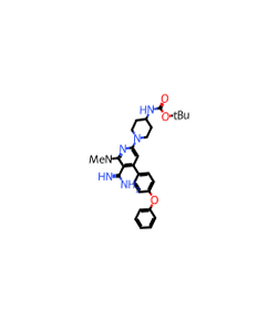 CNc1nc(N2CCC(NC(=O)OC(C)(C)C)CC2)cc(-c2ccc(Oc3ccccc3)cc2)c1C(=N)N